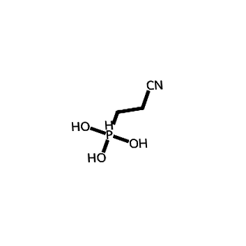 N#CCC[PH](O)(O)O